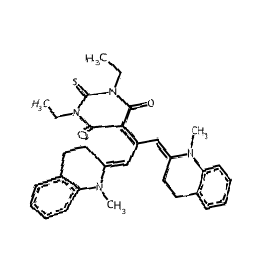 CCN1C(=O)C(=C(/C=C2\CCc3ccccc3N2C)/C=C2\CCc3ccccc3N2C)C(=O)N(CC)C1=S